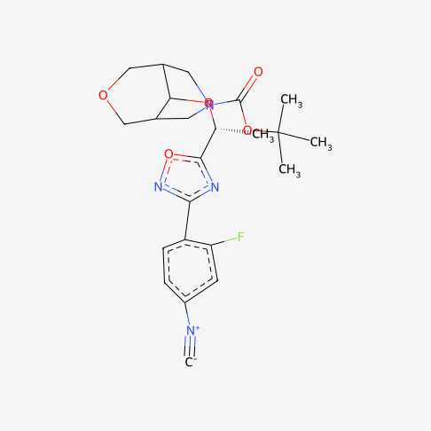 [C-]#[N+]c1ccc(-c2noc([C@@H](C)OC3C4COCC3CN(C(=O)OC(C)(C)C)C4)n2)c(F)c1